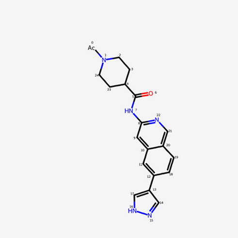 CC(=O)N1CCC(C(=O)Nc2cc3cc(-c4cn[nH]c4)ccc3cn2)CC1